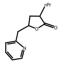 CCCC1CC(Cc2ccccn2)OC1=O